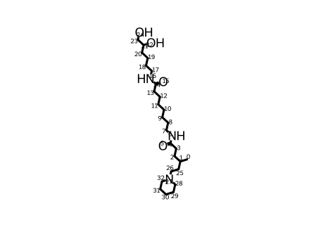 CC(CCC(=O)NCCCCCCCC(=O)NCCCCC(O)CO)CCN1CCCCC1